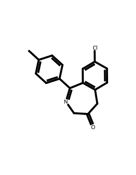 Cc1ccc(C2=NCC(=O)Cc3ccc(Cl)cc32)cc1